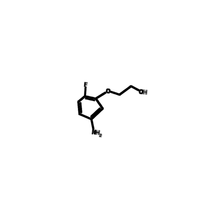 Nc1ccc(F)c(OCCO)c1